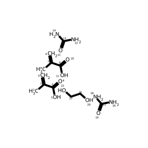 C=C(C)C(=O)O.C=C(C)C(=O)O.NC(N)=O.NC(N)=O.OCCO